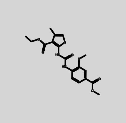 CCOC(=O)c1c(C)csc1NC(=O)Nc1ccc(C(=O)OC)cc1OC